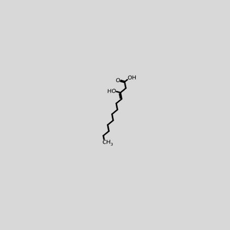 CCCCCCCCC=C(O)CC(=O)O